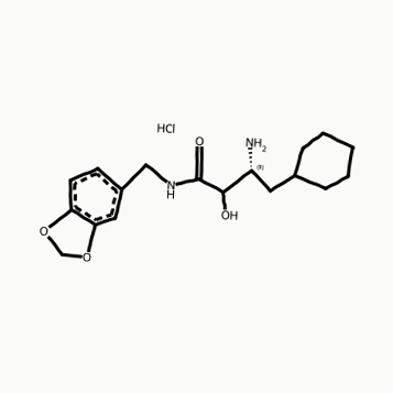 Cl.N[C@H](CC1CCCCC1)C(O)C(=O)NCc1ccc2c(c1)OCO2